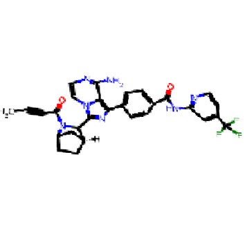 CC#CC(=O)N1C2CC[C@@H](C2)C1c1nc(-c2ccc(C(=O)Nc3cc(C(F)(F)F)ccn3)cc2)c2c(N)nccn12